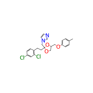 Cc1ccc(OCC2COC(CCc3ccc(Cl)cc3Cl)(Cn3ccnc3)O2)cc1